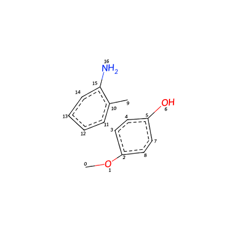 COc1ccc(O)cc1.Cc1ccccc1N